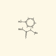 CSC(=S)SC(C)(C)C.Oc1ccccc1